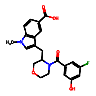 Cn1cc(CC2COCCN2C(=O)c2cc(O)cc(F)c2)c2cc(C(=O)O)ccc21